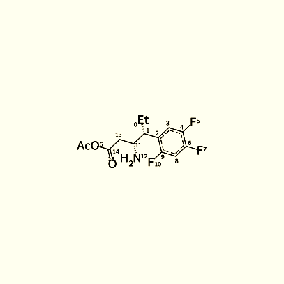 CC[C@H](c1cc(F)c(F)cc1F)[C@H](N)CC(=O)OC(C)=O